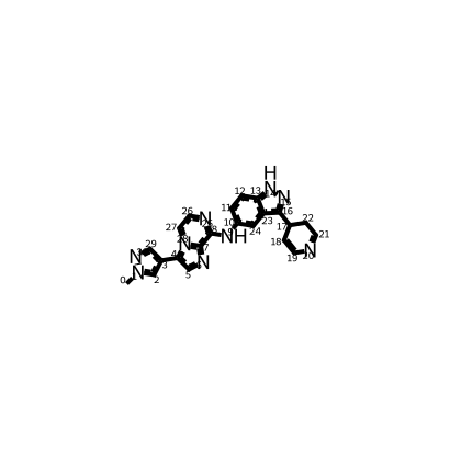 Cn1cc(-c2cnc3c(Nc4ccc5[nH]nc(C6C=CN=CC6)c5c4)nccn23)cn1